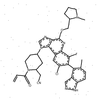 C=CC(=O)N1CCC(n2cnc3c(OCC4CCCN4C)nc4c(F)c(-c5c(C)ccc6[nH]ncc56)c(Cl)cc4c32)CC1CC#N